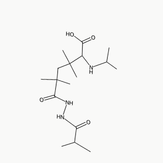 CC(C)NC(C(=O)O)C(C)(C)CC(C)(C)C(=O)NNC(=O)C(C)C